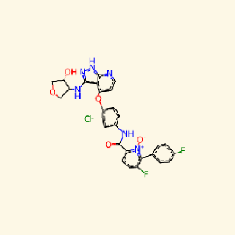 O=C(Nc1ccc(Oc2ccnc3[nH]nc(N[C@H]4COC[C@@H]4O)c23)c(Cl)c1)c1ccc(F)c(-c2ccc(F)cc2)[n+]1[O-]